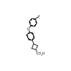 O=C(O)N1CC(c2ccc(Oc3ccc(F)cc3)cc2)C1